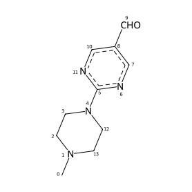 CN1CCN(c2ncc(C=O)cn2)CC1